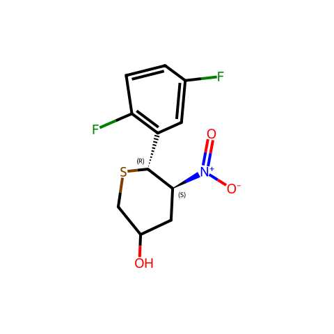 O=[N+]([O-])[C@H]1CC(O)CS[C@@H]1c1cc(F)ccc1F